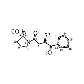 O=C(C(=S)CC(=O)N1CCC[C@H]1C(=O)O)c1ccccc1